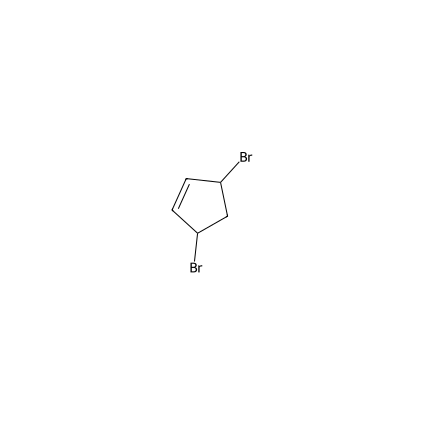 BrC1C=CC(Br)C1